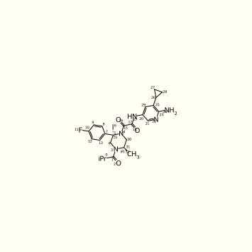 CC(C)C(=O)N1C[C@@](I)(c2ccc(F)cc2)N(C(=O)C(=O)Nc2cnc(N)c(C3CC3)c2)C[C@H]1C